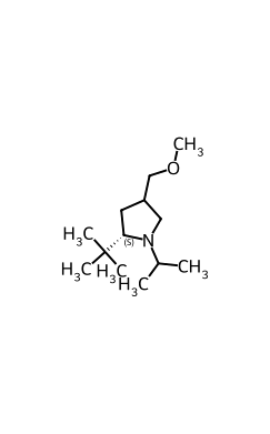 COCC1C[C@@H](C(C)(C)C)N(C(C)C)C1